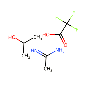 CC(=N)N.CC(C)O.O=C(O)C(F)(F)F